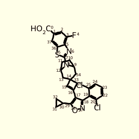 O=C(O)c1cc(F)c2nc(N3C4CCC3CC3(C=C(c5c(-c6c(Cl)cccc6Cl)noc5C5CC5)C3)C4)sc2c1